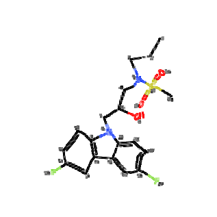 CCCN(CC(O)Cn1c2ccc(F)cc2c2cc(F)ccc21)S(C)(=O)=O